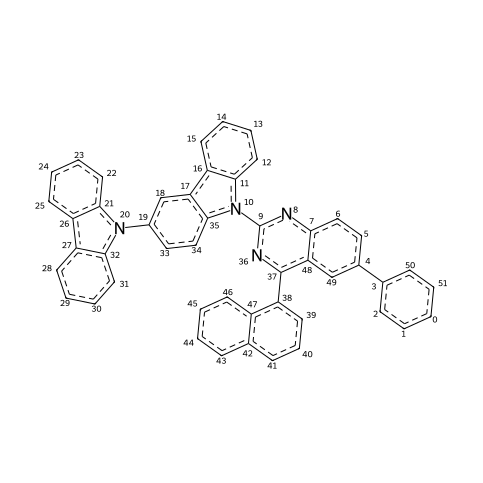 c1ccc(-c2ccc3nc(-n4c5ccccc5c5cc(-n6c7ccccc7c7ccccc76)ccc54)nc(-c4cccc5ccccc45)c3c2)cc1